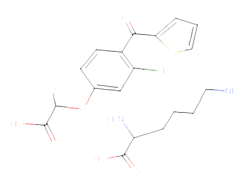 NCCCCC(N)C(=O)O.O=C(c1cccs1)c1ccc(OC(Cl)C(=O)O)cc1Cl